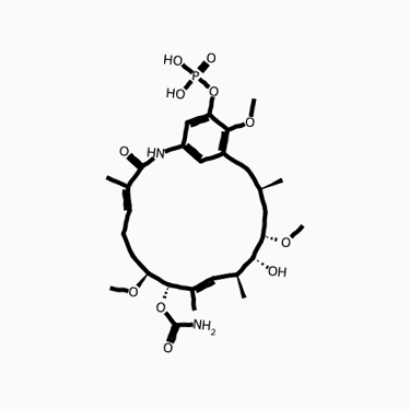 COc1c2cc(cc1OP(=O)(O)O)NC(=O)/C(C)=C/CC[C@H](OC)[C@@H](OC(N)=O)/C(C)=C/[C@H](C)[C@@H](O)[C@@H](OC)C[C@H](C)C2